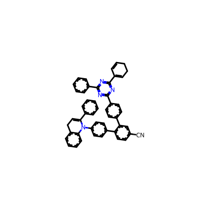 N#Cc1ccc(-c2ccc(N3C(c4ccccc4)=CCc4ccccc43)cc2)c(-c2ccc(-c3nc(C4=CCCC=C4)nc(-c4ccccc4)n3)cc2)c1